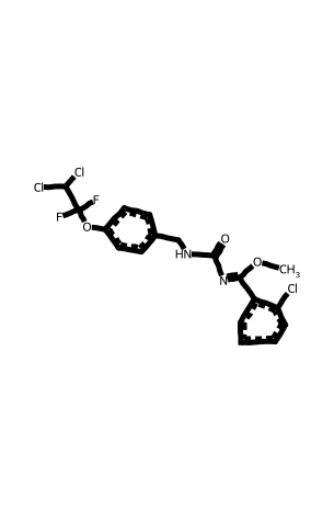 COC(=NC(=O)NCc1ccc(OC(F)(F)C(Cl)Cl)cc1)c1ccccc1Cl